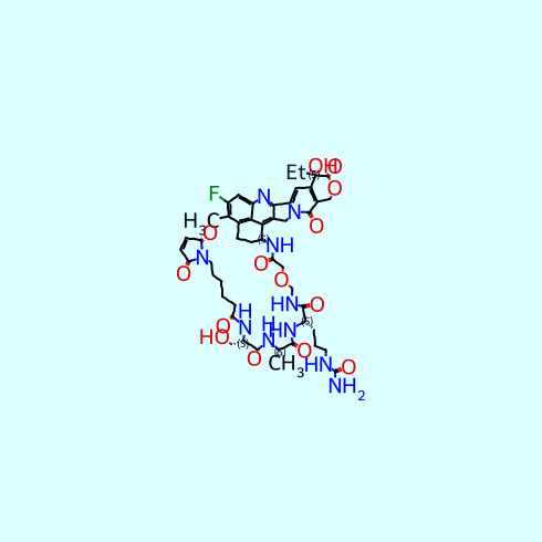 CC[C@@]1(O)C(=O)OCc2c1cc1n(c2=O)Cc2c-1nc1cc(F)c(C)c3c1c2[C@@H](NC(=O)COCNC(=O)[C@H](CCCNC(N)=O)NC(=O)[C@H](C)NC(=O)[C@H](CO)NC(=O)CCCCCN1C(=O)C=CC1=O)CC3